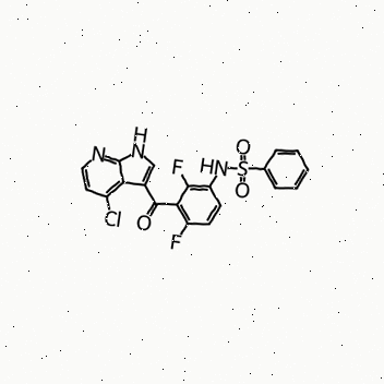 O=C(c1c(F)ccc(NS(=O)(=O)c2ccccc2)c1F)c1c[nH]c2nccc(Cl)c12